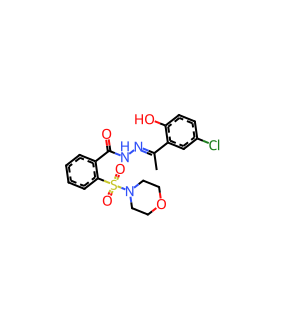 CC(=NNC(=O)c1ccccc1S(=O)(=O)N1CCOCC1)c1cc(Cl)ccc1O